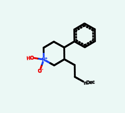 CCCCCCCCCCCCC1C[N+]([O-])(O)CCC1c1ccccc1